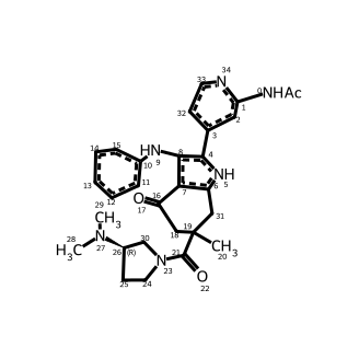 CC(=O)Nc1cc(-c2[nH]c3c(c2Nc2ccccc2)C(=O)CC(C)(C(=O)N2CC[C@@H](N(C)C)C2)C3)ccn1